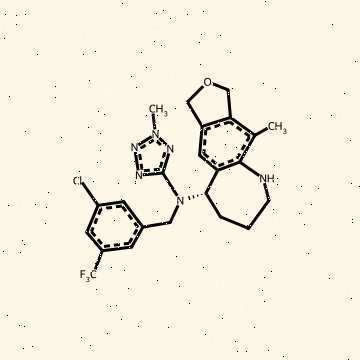 Cc1c2c(cc3c1NCCC[C@@H]3N(Cc1cc(Cl)cc(C(F)(F)F)c1)c1nnn(C)n1)COC2